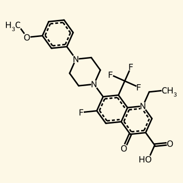 CCn1cc(C(=O)O)c(=O)c2cc(F)c(N3CCN(c4cccc(OC)c4)CC3)c(C(F)(F)F)c21